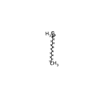 CCCCCCCCCCCCCCOC